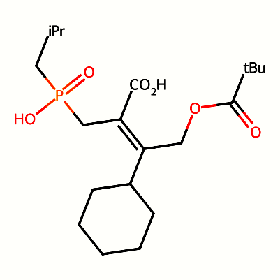 CC(C)CP(=O)(O)CC(C(=O)O)=C(COC(=O)C(C)(C)C)C1CCCCC1